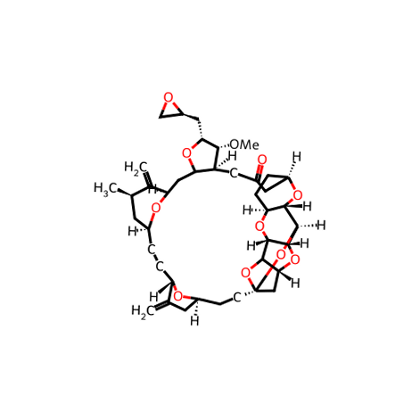 C=C1C[C@@H]2CC[C@@]34C[C@H]5O[C@H]6[C@@H](O3)[C@H]3O[C@H](CC[C@@H]3O[C@H]6C5O4)CC(=O)C[C@H]3C(C[C@H]4O[C@@H](CC[C@@H]1O2)C[C@@H](C)C4=C)O[C@H](C[C@H]1CO1)[C@@H]3OC